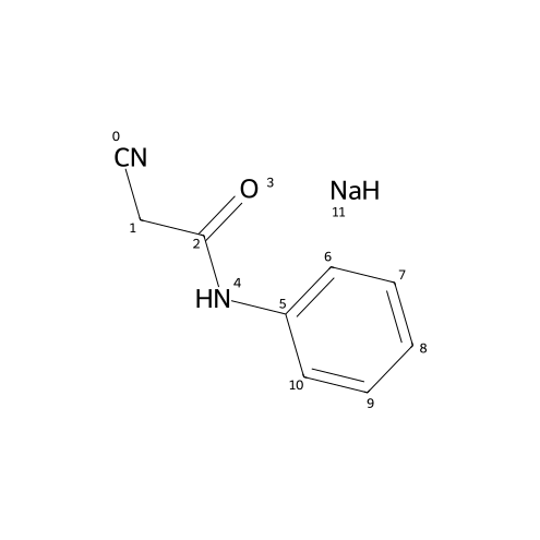 N#CCC(=O)Nc1ccccc1.[NaH]